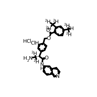 Cl.Cl.[2H]C([2H])([2H])c1ccc(C(=O)OCc2ccc([C@H](C(=O)Nc3ccc4cnccc4c3)C([2H])([2H])N)cc2)c(C([2H])([2H])[2H])c1